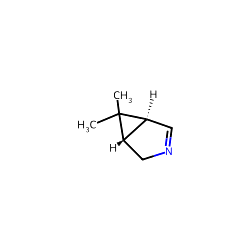 CC1(C)[C@H]2C=NC[C@@H]21